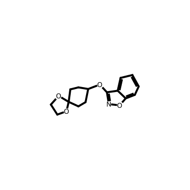 c1ccc2c(OC3CCC4(CC3)OCCO4)noc2c1